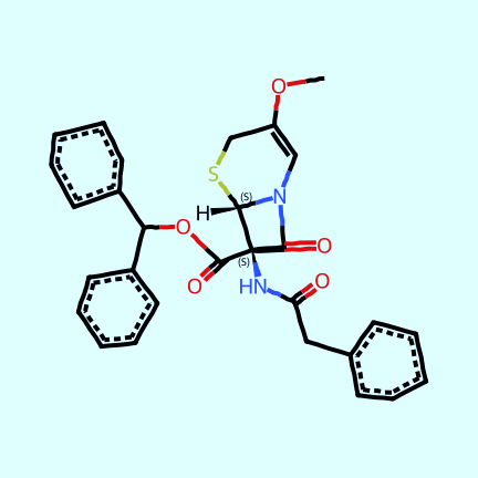 COC1=CN2C(=O)[C@](NC(=O)Cc3ccccc3)(C(=O)OC(c3ccccc3)c3ccccc3)[C@@H]2SC1